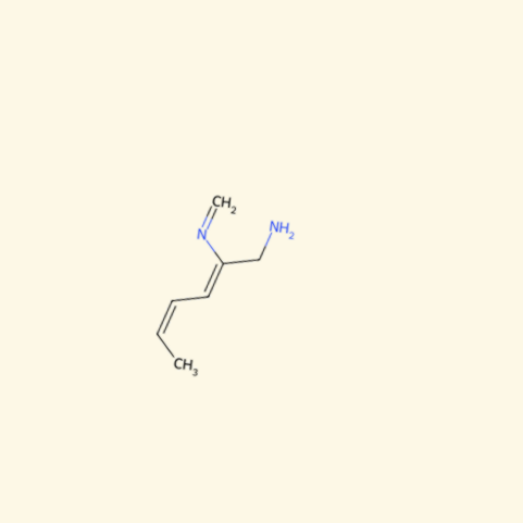 C=N/C(=C\C=C/C)CN